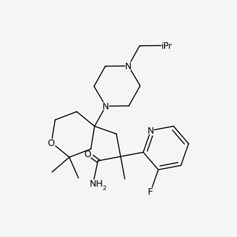 CC(C)CN1CCN(C2(CC(C)(C(N)=O)c3ncccc3F)CCOC(C)(C)C2)CC1